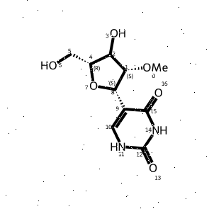 CO[C@H]1C(O)[C@@H](CO)O[C@H]1c1c[nH]c(=O)[nH]c1=O